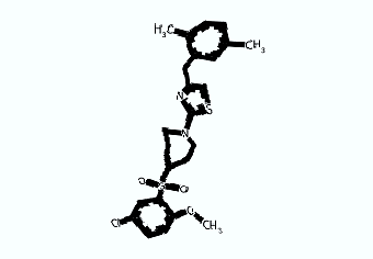 COc1ccc(Cl)cc1S(=O)(=O)C1CCN(c2nc(Cc3cc(C)ccc3C)cs2)CC1